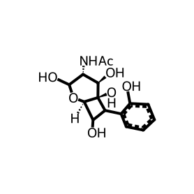 CC(=O)N[C@H]1C(O)O[C@@H]2C(O)C(c3ccccc3O)[C@@]2(O)[C@@H]1O